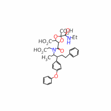 CCNC(=O)C1(C(=O)O)OC(C(=O)O)C(C(=O)N(CC(=O)O)C(C)C(CCc2ccccc2)c2ccc(Oc3ccccc3)cc2)O1